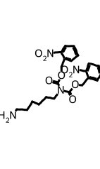 NCCCCCCN(C(=O)OCc1ccccc1[N+](=O)[O-])C(=O)OCc1ccccc1[N+](=O)[O-]